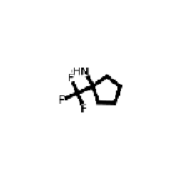 [NH]C1(C(F)(F)F)CCCC1